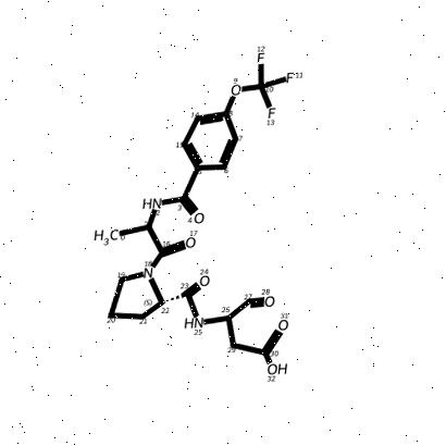 CC(NC(=O)c1ccc(OC(F)(F)F)cc1)C(=O)N1CCC[C@H]1C(=O)NC(C=O)CC(=O)O